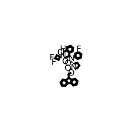 O=C(NC1CC(F)(F)C1)[C@@H](c1ccccc1Cl)N(C(=O)[C@@H]1CCCN1C(=O)OCC1c2ccccc2-c2ccccc21)c1cccc(F)c1